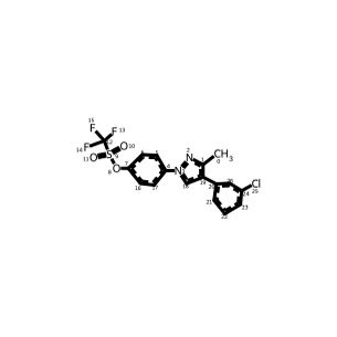 Cc1nn(-c2ccc(OS(=O)(=O)C(F)(F)F)cc2)cc1-c1cccc(Cl)c1